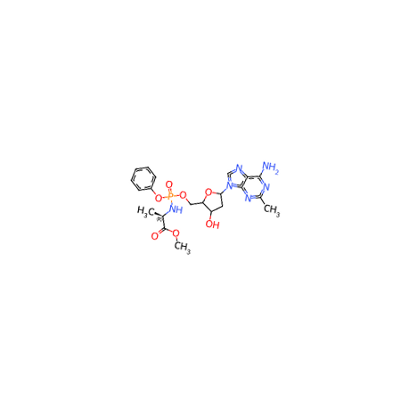 COC(=O)[C@@H](C)NP(=O)(OCC1OC(n2cnc3c(N)nc(C)nc32)CC1O)Oc1ccccc1